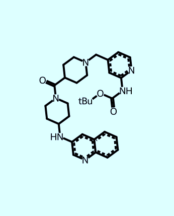 CC(C)(C)OC(=O)Nc1cc(CN2CCC(C(=O)N3CCC(Nc4cnc5ccccc5c4)CC3)CC2)ccn1